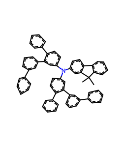 CC1(C)c2ccccc2-c2ccc(N(c3ccc(-c4ccccc4)c(-c4cccc(-c5ccccc5)c4)c3)c3ccc(-c4ccccc4)c(-c4cccc(-c5ccccc5)c4)c3)cc21